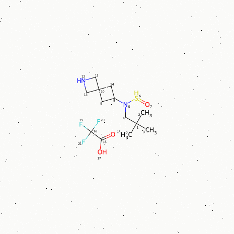 CC(C)(C)CN([SH]=O)C1CC2(CNC2)C1.O=C(O)C(F)(F)F